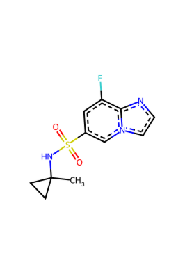 CC1(NS(=O)(=O)c2cc(F)c3nccn3c2)CC1